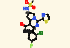 COC(=O)C1=C2C[C@H](NS(C)(=O)=O)CN2C(c2nccs2)=N[C@H]1c1ccc(F)cc1Cl